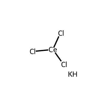 [Cl][Ce]([Cl])[Cl].[KH]